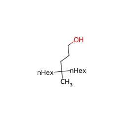 CCCCCCC(C)(CCCO)CCCCCC